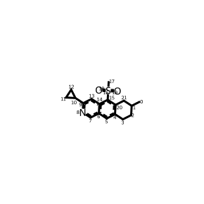 CC1CCc2cc3cnc(C4CC4)cc3c(S(C)(=O)=O)c2C1